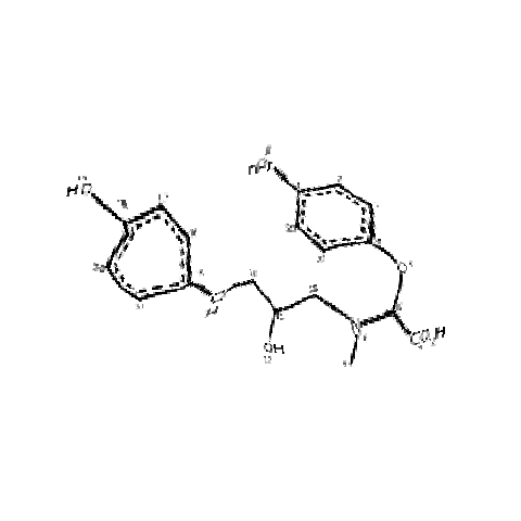 CCCc1ccc(OC(C(=O)O)N(C)CC(O)COc2ccc(O)cc2)cc1